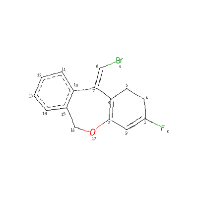 FC1=CC2=C(CC1)C(=CBr)c1ccccc1CO2